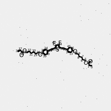 C=CC(=O)OCCCCCCOc1ccc(C#Cc2sc(C#Cc3ccc(OCCCCCCOC(=O)C=C)cc3)c(F)c2F)cc1